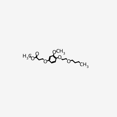 CCCCOCCOc1ccc(OCCC(=O)OC)cc1OC